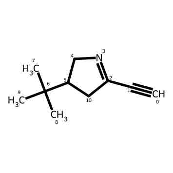 C#CC1=NCC(C(C)(C)C)C1